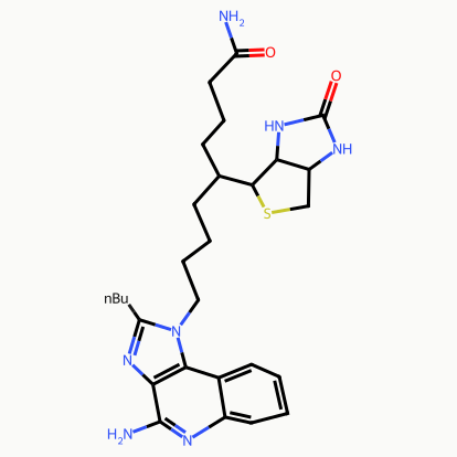 CCCCc1nc2c(N)nc3ccccc3c2n1CCCCC(CCCC(N)=O)C1SCC2NC(=O)NC21